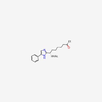 CCC(=O)CCCCC[C@H](NC(C)=O)c1ncc(-c2ccccc2)[nH]1